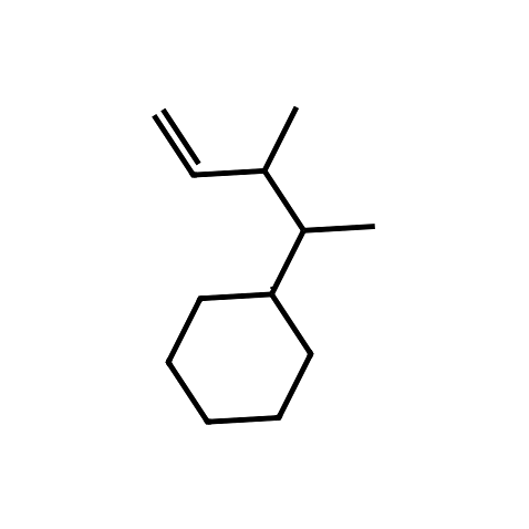 C=CC(C)C(C)[C]1CCCCC1